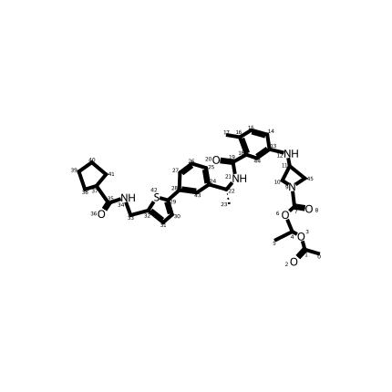 CC(=O)OC(C)OC(=O)N1CC(Nc2ccc(C)c(C(=O)N[C@H](C)c3cccc(-c4ccc(CNC(=O)C5CCCC5)s4)c3)c2)C1